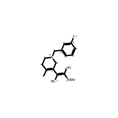 CCC/C(NC)=C(/C#N)C1=C(C)CCN(Cc2cccc(F)c2)C1